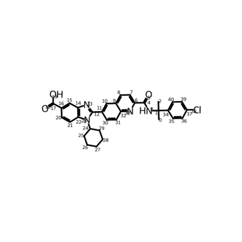 CC(C)(NC(=O)c1ccc2cc(-c3nc4cc(C(=O)O)ccc4n3C3CCCCC3)ccc2n1)c1ccc(Cl)cc1